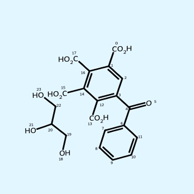 O=C(O)c1cc(C(=O)c2ccccc2)c(C(=O)O)c(C(=O)O)c1C(=O)O.OCC(O)CO